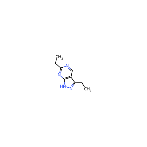 CCc1ncc2c(CC)n[nH]c2n1